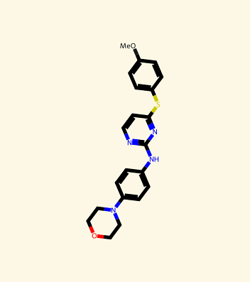 COc1ccc(Sc2ccnc(Nc3ccc(N4CCOCC4)cc3)n2)cc1